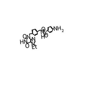 CCn1cnc2c1c(=O)[nH]c(=O)n2Cc1ccc(CNS(=O)(=O)c2ccc(N)cc2)cc1